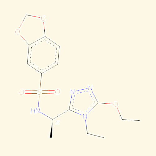 CCOc1nnc([C@@H](C)NS(=O)(=O)c2ccc3c(c2)OCO3)n1CC